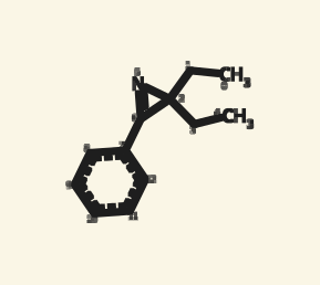 CCC1(CC)N=C1c1ccccc1